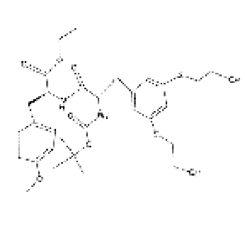 CCOC(=O)[C@H](Cc1ccc(OC)cc1)NC(=O)[C@H](Cc1cc(SCCO)cc(SCCO)c1)NC(=O)OC(C)(C)C